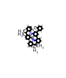 Cc1ccccc1-c1cc2c3c(c1)N1c4ccccc4C(C)(C)c4cccc(c41)B3N1c3ccccc3C(C)(C)c3cccc-2c31